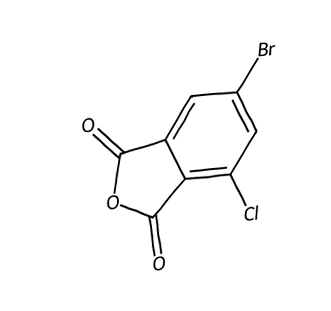 O=C1OC(=O)c2c(Cl)cc(Br)cc21